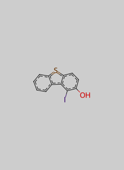 Oc1ccc2sc3ccccc3c2c1I